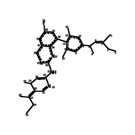 CC/C(C)=C\C(C)c1cc(C)c(-c2cc(F)cc3cnc(NC4=CC(C)/C(=C(\C)CC)C=N4)nc23)c(C)c1